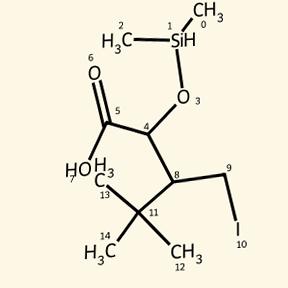 C[SiH](C)OC(C(=O)O)C(CI)C(C)(C)C